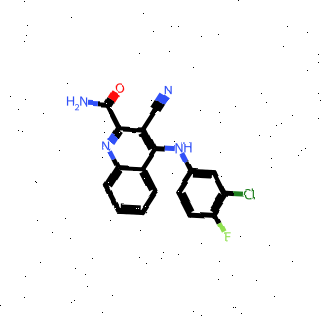 N#Cc1c(C(N)=O)nc2cc[c]cc2c1Nc1ccc(F)c(Cl)c1